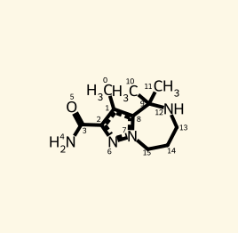 Cc1c(C(N)=O)nn2c1C(C)(C)NCCC2